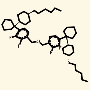 CCCCCC[C@H]1CC[C@H](C2(c3ccc(COCc4ccc(C5([C@H]6CC[C@H](CCCCCC)CC6)CCCCC5)c(F)c4F)c(F)c3F)CCCCC2)CC1